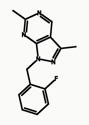 Cc1ncc2c(C)nn(Cc3ccccc3F)c2n1